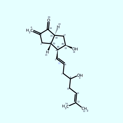 C=C1C[C@H]2[C@H](/C=C/CC(O)CC=C(C)C)[C@H](O)C[C@@H]2C1=O